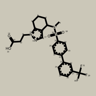 CN(C1CCCc2c1cnn2CCC(=O)O)S(=O)(=O)c1ccc(-c2cccc(C(F)(F)F)c2)cc1